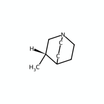 C[C@@H]1CN2CCC1CC2